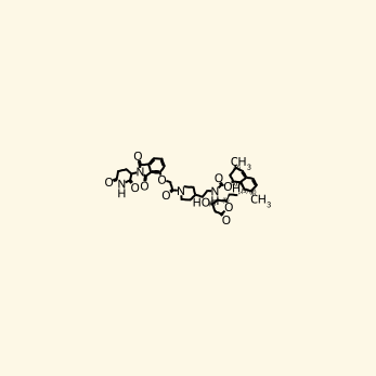 C[C@H]1C=C2C=C[C@H](C)[C@H](CC[C@@H]3C[C@@H](O)CC(=O)O3)[C@H]2[C@@H](OC(=O)NCCC2CCN(C(=O)COc3cccc4c3C(=O)N(C3CCC(=O)NC3=O)C4=O)CC2)C1